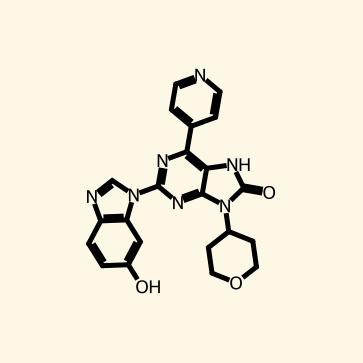 O=c1[nH]c2c(-c3ccncc3)nc(-n3cnc4ccc(O)cc43)nc2n1C1CCOCC1